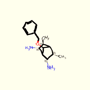 C[C@H]1C2C(OCc3ccccc3)C([C@H]1N)[C@H](N)[C@H]2C